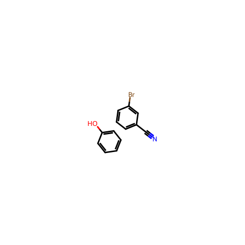 N#Cc1cccc(Br)c1.Oc1ccccc1